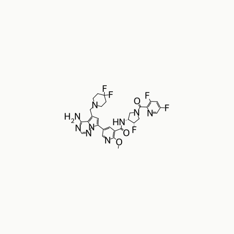 COc1ncc(-c2cc(CN3CCC(F)(F)CC3)c3c(N)ncnn23)cc1C(=O)N[C@@H]1CN(C(=O)c2ncc(F)cc2F)C[C@@H]1F